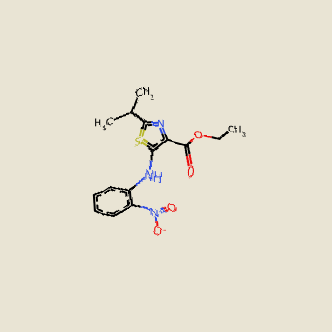 CCOC(=O)c1nc(C(C)C)sc1Nc1ccccc1[N+](=O)[O-]